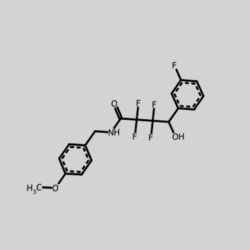 COc1ccc(CNC(=O)C(F)(F)C(F)(F)C(O)c2cccc(F)c2)cc1